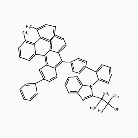 BC(B)(c1nc2ccccc2n1-c1ccccc1-c1ccc(-c2c3ccccc3c(-c3cccc(C)c3-c3ccccc3C)c3cc(-c4ccccc4)ccc23)cc1)C(C)(C)O